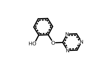 Oc1ccccc1Oc1ncncn1